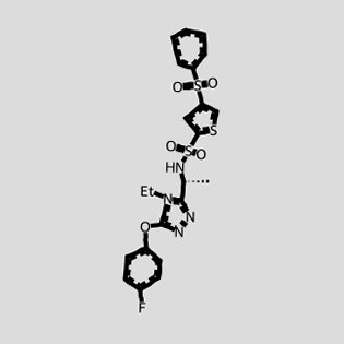 CCn1c(Oc2ccc(F)cc2)nnc1[C@@H](C)NS(=O)(=O)c1cc(S(=O)(=O)c2ccccc2)cs1